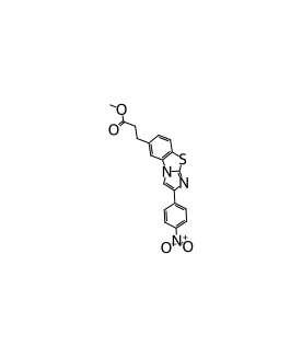 COC(=O)CCc1ccc2sc3nc(-c4ccc([N+](=O)[O-])cc4)cn3c2c1